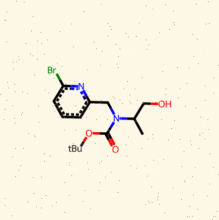 CC(CO)N(Cc1cccc(Br)n1)C(=O)OC(C)(C)C